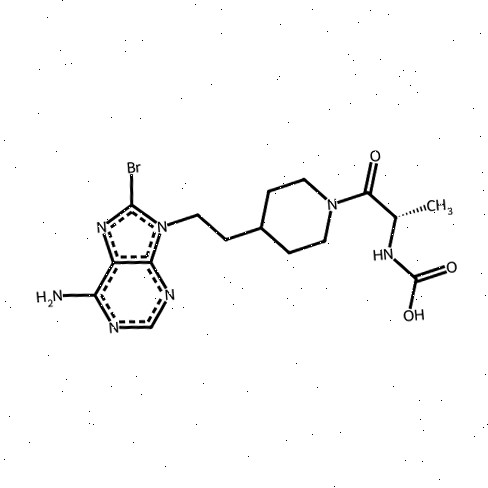 C[C@H](NC(=O)O)C(=O)N1CCC(CCn2c(Br)nc3c(N)ncnc32)CC1